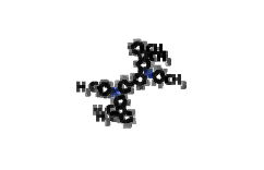 Cc1ccc(-n2c3c(c4cc5c(cc42)C(C)(C)c2ccccc2-5)=CC(c2ccc4c(c2)c2cc5c(cc2n4-c2ccc(C)cc2)C(C)(C)c2ccccc2-5)CC=3)cc1